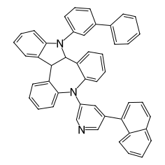 c1ccc(-c2cccc(N3c4ccccc4C4c5ccccc5N(c5cncc(-c6cccc7ccccc67)c5)c5ccccc5C43)c2)cc1